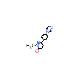 Cn1nc(-c2ccc(-n3ccnc3)cc2)ccc1=O